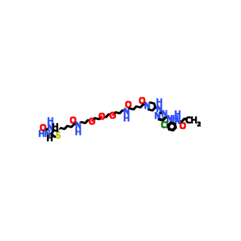 C=CC(=O)Nc1ccccc1Nc1nc(NC2CCN(C(=O)CCCC(=O)NCCCOCCOCCOCCCNC(=O)CCCC[C@@H]3SC[C@@H]4NC(=O)N[C@@H]43)CC2)ncc1Cl